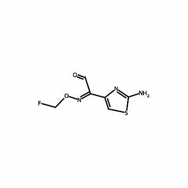 Nc1nc(C([C]=O)=NOCF)cs1